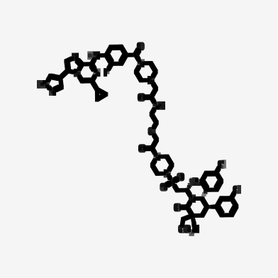 CC(C)(C)[C@@H](CS(=O)(=O)N1CCN(C(=O)COCCNC(=O)CN2CCN(C(=O)c3ccc(Nc4nc(C5CC5)cn5c(-c6cn[nH]c6)cnc45)c(F)c3)CC2)CC1)N1C(=O)[C@@](C)(CC(=O)O)C[C@H](c2cccc(Cl)c2)[C@H]1c1ccc(Cl)cc1